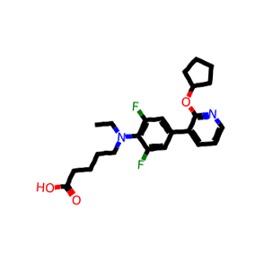 CCN(CCCCC(=O)O)c1c(F)cc(-c2cccnc2OC2CCCC2)cc1F